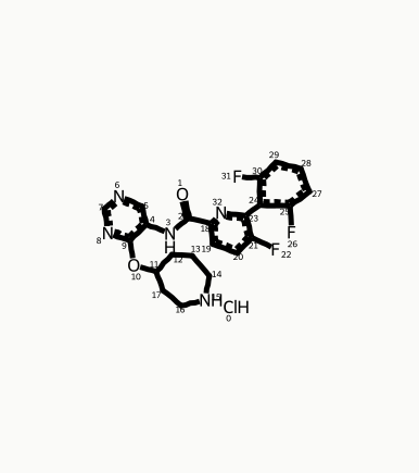 Cl.O=C(Nc1cncnc1OC1CCCNCC1)c1ccc(F)c(-c2c(F)cccc2F)n1